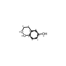 Oc1ccc2c(c1)CCOO2